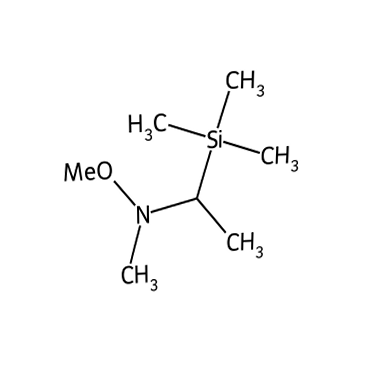 CON(C)C(C)[Si](C)(C)C